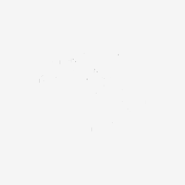 COc1ccc([C@@H](C=O)N2CCNC(CC(C)C)C2)cc1OC